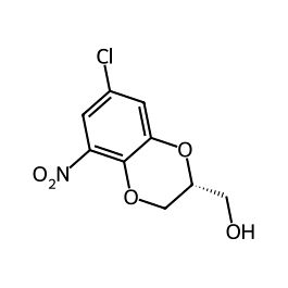 O=[N+]([O-])c1cc(Cl)cc2c1OC[C@@H](CO)O2